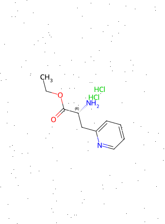 CCOC(=O)[C@H](N)Cc1ccccn1.Cl.Cl